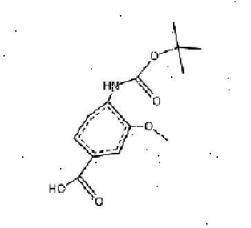 COc1cc(C(=O)O)ccc1NC(=O)OC(C)(C)C